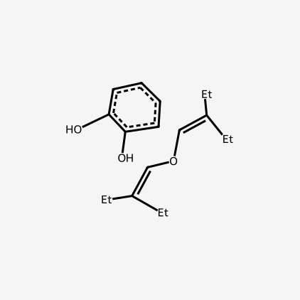 CCC(=COC=C(CC)CC)CC.Oc1ccccc1O